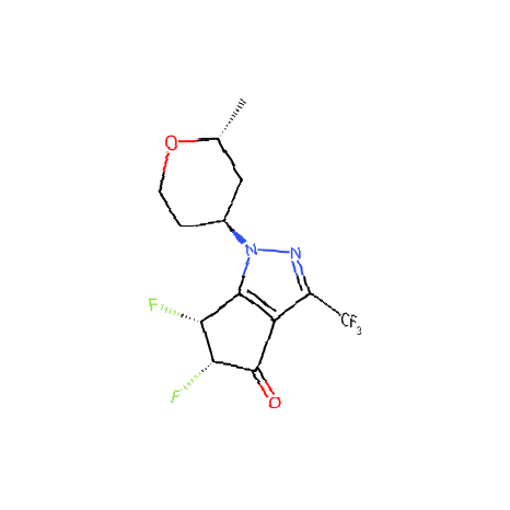 C[C@@H]1C[C@@H](n2nc(C(F)(F)F)c3c2[C@@H](F)[C@@H](F)C3=O)CCO1